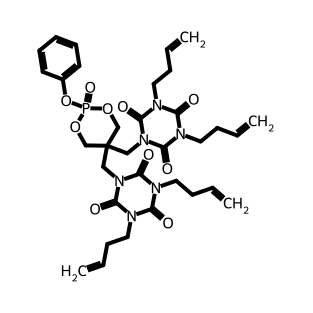 C=CCCn1c(=O)n(CCC=C)c(=O)n(CC2(Cn3c(=O)n(CCC=C)c(=O)n(CCC=C)c3=O)COP(=O)(Oc3ccccc3)OC2)c1=O